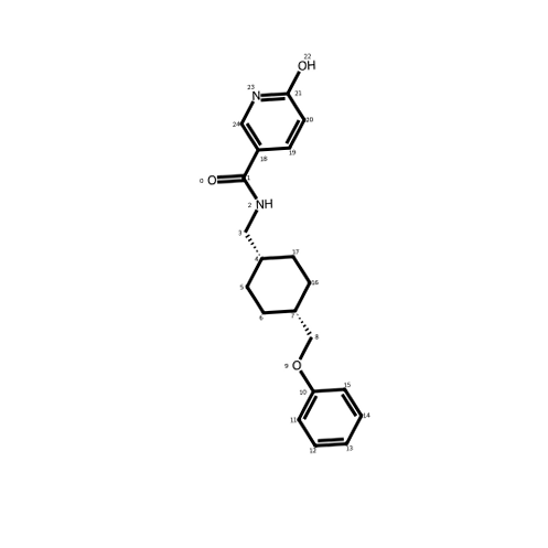 O=C(NC[C@H]1CC[C@@H](COc2ccccc2)CC1)c1ccc(O)nc1